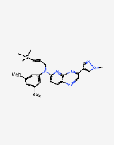 COc1cc(OC)cc(N(CC#C[Si](C)(C)C)c2ccc3ncc(-c4cnn(C)c4)nc3n2)c1